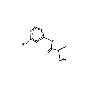 COC(C)C(=O)Nc1cc(C(C)C)ncn1